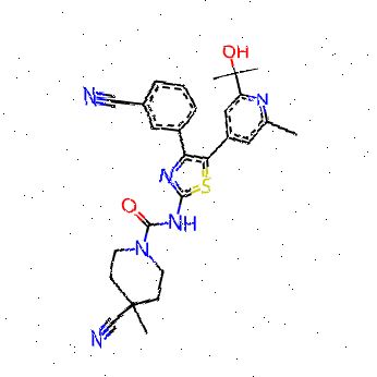 Cc1cc(-c2sc(NC(=O)N3CCC(C)(C#N)CC3)nc2-c2cccc(C#N)c2)cc(C(C)(C)O)n1